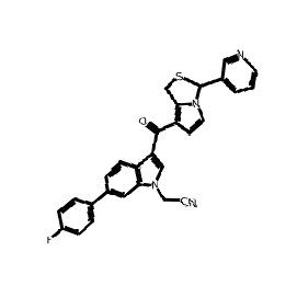 N#CCn1cc(C(=O)c2ccn3c2CSC3c2cccnc2)c2ccc(-c3ccc(F)cc3)cc21